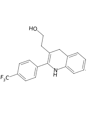 OCCC1=C(c2ccc(C(F)(F)F)cc2)Nc2c[c]ccc2C1